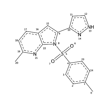 Cc1ccc(S(=O)(=O)n2c(-c3cc[nH]n3)cc3ccc(C)nc32)cc1